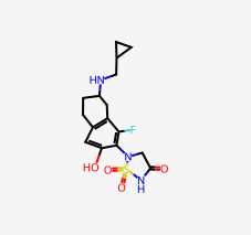 O=C1CN(c2c(O)cc3c(c2F)CC(NCC2CC2)CC3)S(=O)(=O)N1